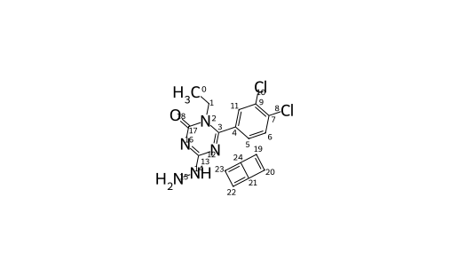 CCn1c(-c2ccc(Cl)c(Cl)c2)nc(NN)nc1=O.c1cc2ccc1-2